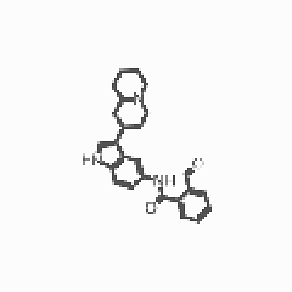 O=Cc1ccccc1C(=O)Nc1ccc2[nH]cc(C3CCN4CCCCC4C3)c2c1